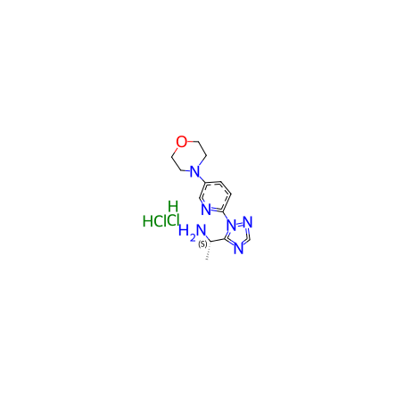 C[C@H](N)c1ncnn1-c1ccc(N2CCOCC2)cn1.Cl.Cl